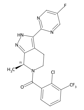 C[C@H]1c2n[nH]c(-c3ncc(F)cn3)c2CCN1C(=O)c1cccc(C(F)(F)F)c1Cl